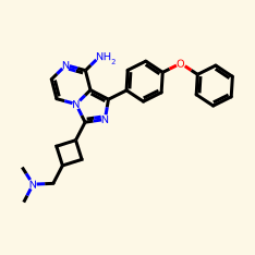 CN(C)CC1CC(c2nc(-c3ccc(Oc4ccccc4)cc3)c3c(N)nccn23)C1